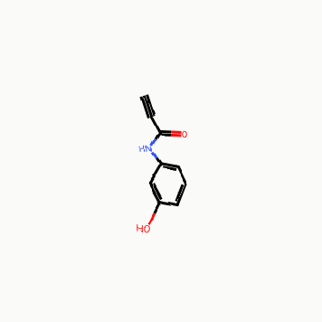 C#CC(=O)Nc1cccc(O)c1